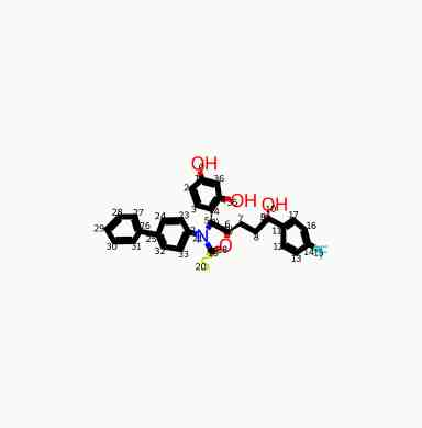 Oc1ccc([C@@H]2[C@@H](CC[C@H](O)c3ccc(F)cc3)OC(=S)N2c2ccc(-c3ccccc3)cc2)c(O)c1